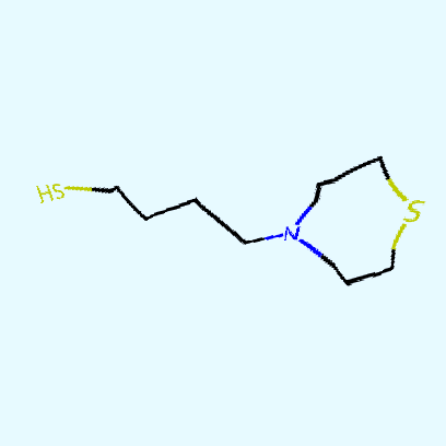 SCCCCN1CCSCC1